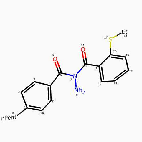 CCCCCc1ccc(C(=O)N(N)C(=O)c2ccccc2SCC)cc1